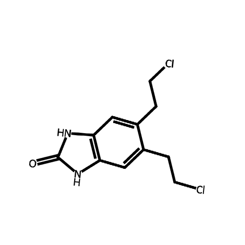 O=c1[nH]c2cc(CCCl)c(CCCl)cc2[nH]1